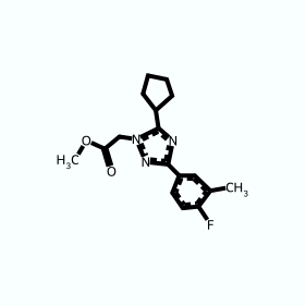 COC(=O)Cn1nc(-c2ccc(F)c(C)c2)nc1C1CCCC1